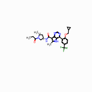 CCC(=O)N1C[C@@H](NC(=O)c2c(C)[nH]c3c(-c4cc(C(F)(F)F)ccc4OCC4CC4)ncnc23)C[C@H]1C